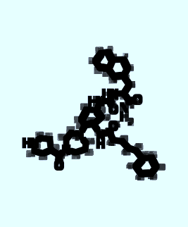 NC(=O)C(Cc1ccc2ccccc2c1)NC(=O)Nc1ccc(N2CCCN(C(=O)C3CCNCC3)CC2)c(NC(=O)CCCCc2ccccc2)c1